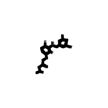 Cc1cc(Br)cc(CNc2c(F)ccc(OCC(=O)OC(C)C)c2F)c1